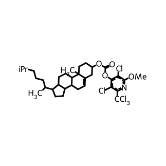 COc1nc(C(Cl)(Cl)Cl)c(Cl)c(OC(=O)OC2CCC3(C)C(=CCC4C5CCC(C(C)CCCC(C)C)C5CCC43)C2)c1Cl